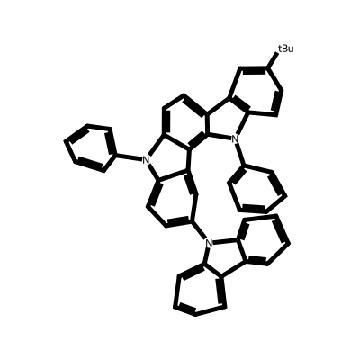 CC(C)(C)c1ccc2c(c1)c1ccc3c(c4cc(-n5c6ccccc6c6ccccc65)ccc4n3-c3ccccc3)c1n2-c1ccccc1